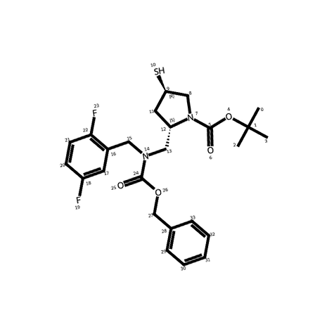 CC(C)(C)OC(=O)N1C[C@H](S)C[C@H]1CN(Cc1cc(F)ccc1F)C(=O)OCc1ccccc1